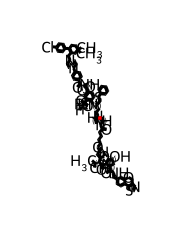 CC(C)[C@H](C(=O)N1C[C@H](O)C[C@H]1C(=O)NCc1ccc2c(c1)OCc1ncsc1-2)c1cc(OCCCCC(=O)N2C[C@H]3C[C@@H]2CN3CC[C@H](CSc2ccccc2)Nc2ccc(S(=O)(=O)NC(=O)c3ccc(N4CCN(CC5=C(c6ccc(Cl)cc6)CCC(C)(C)C5)CC4)cc3)cc2S(=O)(=O)C(F)(F)F)no1